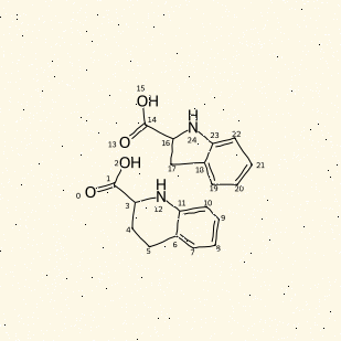 O=C(O)C1CCc2ccccc2N1.O=C(O)C1Cc2ccccc2N1